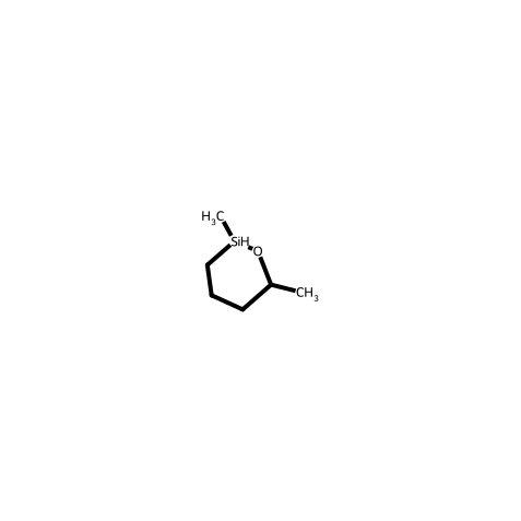 CC1CCC[SiH](C)O1